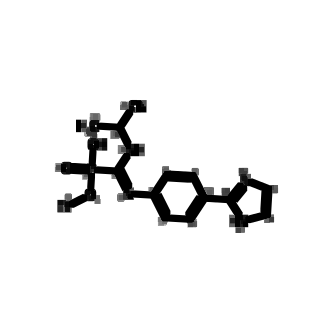 CCOP(=O)(O)/C(=N/c1ccc(-c2ncc[nH]2)cc1)NC(C)C#N